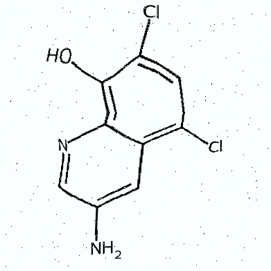 Nc1cnc2c(O)c(Cl)cc(Cl)c2c1